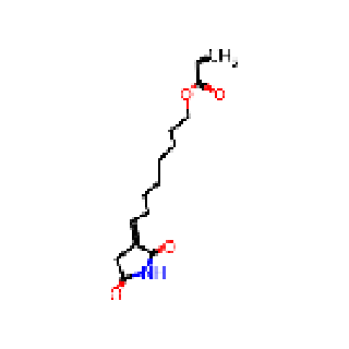 C=CC(=O)OCCCCCCCC=C1CC(=O)NC1=O